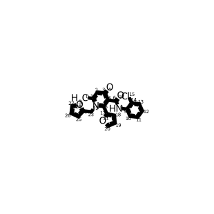 Cc1cc(=O)c(C(=O)Nc2ccccc2Cl)c(-c2ccco2)n1Cc1ccco1